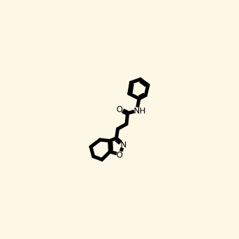 O=C(CCc1noc2c1CCCC2)Nc1ccccc1